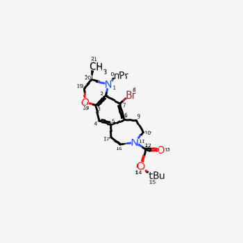 CCCN1c2c(cc3c(c2Br)CCN(C(=O)OC(C)(C)C)CC3)OC[C@H]1C